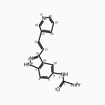 CCCC(=O)Nc1ccc2[nH]nc(C=Cc3cccnc3)c2c1